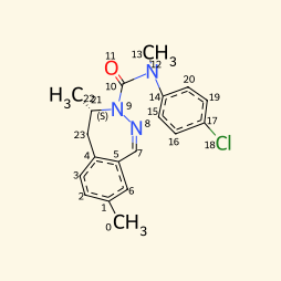 Cc1ccc2c(c1)C=NN(C(=O)N(C)c1ccc(Cl)cc1)[C@@H](C)C2